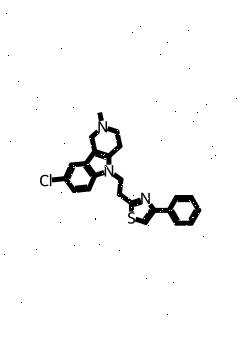 CN1CCc2c(c3cc(Cl)ccc3n2CCc2nc(-c3ccccc3)cs2)C1